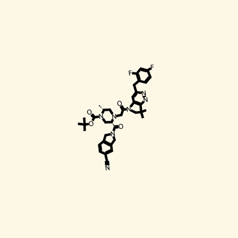 C[C@@H]1CN(CC(=O)N2CC(C)(C)c3nnc(Cc4ccc(F)cc4F)cc32)[C@H](C(=O)N2Cc3ccc(C#N)cc3C2)CN1C(=O)OC(C)(C)C